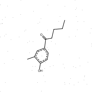 CCCCC(=O)c1ccc(O)c(C)c1